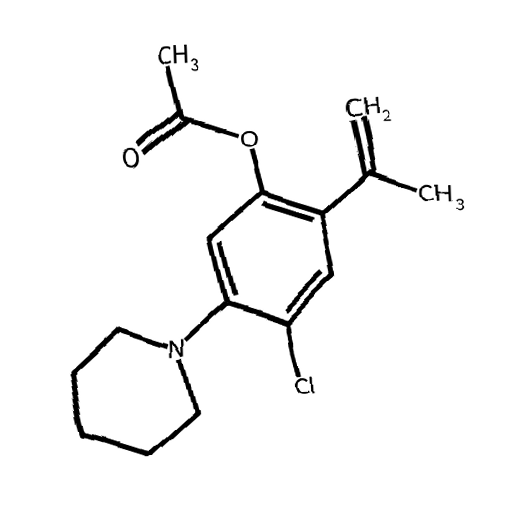 C=C(C)c1cc(Cl)c(N2CCCCC2)cc1OC(C)=O